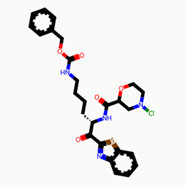 O=C(NCCCC[C@H](NC(=O)C1CN(Cl)CCO1)C(=O)c1nc2ccccc2s1)OCc1ccccc1